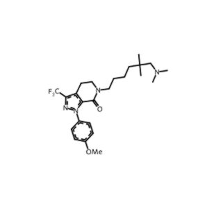 COc1ccc(-n2nc(C(F)(F)F)c3c2C(=O)N(CCCCC(C)(C)CN(C)C)CC3)cc1